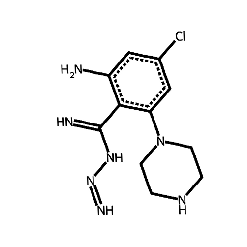 N=NNC(=N)c1c(N)cc(Cl)cc1N1CCNCC1